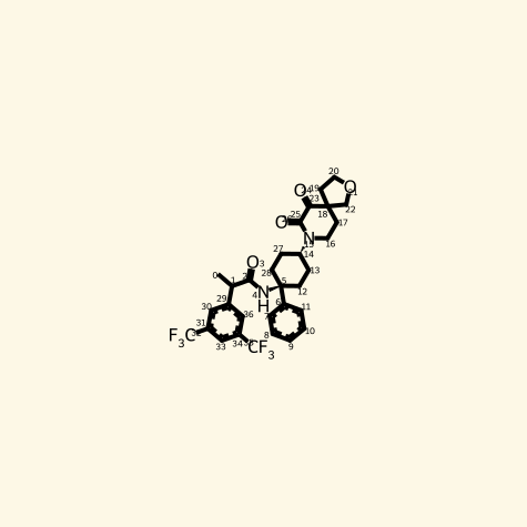 CC(C(=O)N[C@]1(c2ccccc2)CC[C@@H](N2CCC3(CCOC3)C(=O)C2=O)CC1)c1cc(C(F)(F)F)cc(C(F)(F)F)c1